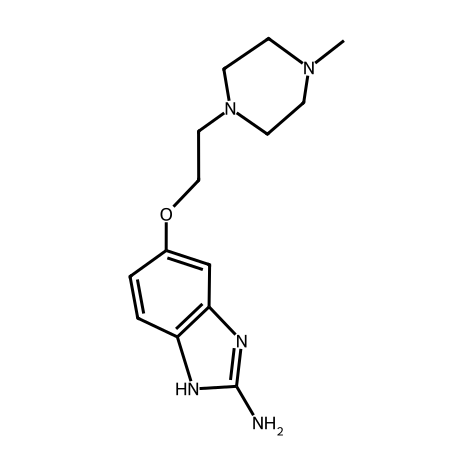 CN1CCN(CCOc2ccc3[nH]c(N)nc3c2)CC1